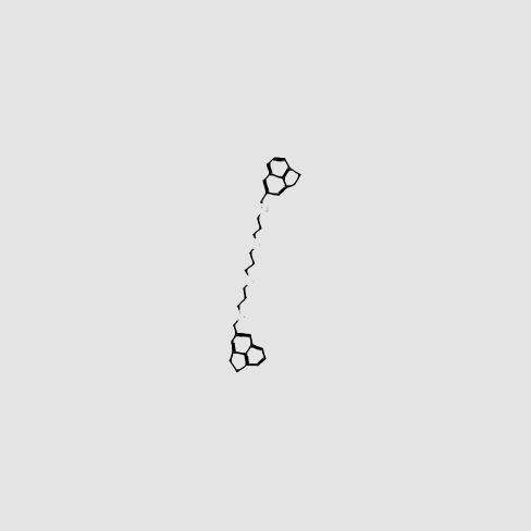 c1cc2c3c(cc(CNCCCNCCCNCCCNCc4cc5c6c(cccc6c4)CC5)cc3c1)CC2